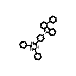 c1ccc(-c2nc(-c3ccccc3)nc(-c3ccc(-n4c5ccccc5c5c(-c6ccccc6)cccc54)cc3)n2)cc1